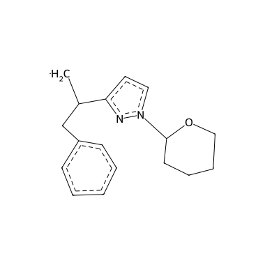 [CH2]C(Cc1ccccc1)c1ccn(C2CCCCO2)n1